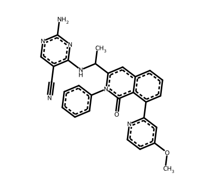 COc1ccnc(-c2cccc3cc(C(C)Nc4nc(N)ncc4C#N)n(-c4ccccc4)c(=O)c23)c1